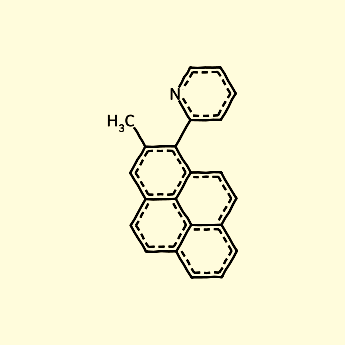 Cc1cc2ccc3cccc4ccc(c1-c1ccccn1)c2c34